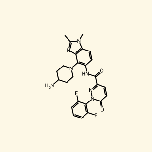 Cc1nc2c(N3CCC(N)CC3)c(NC(=O)c3ccc(=O)n(-c4c(F)cccc4F)n3)ccc2n1C